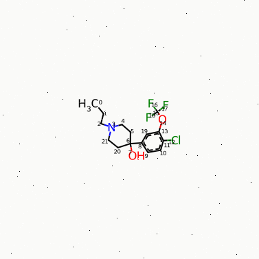 CCCN1CCC(O)(c2ccc(Cl)c(OC(F)(F)F)c2)CC1